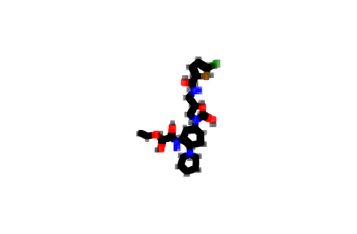 CCOC(=O)C(=O)Nc1cc(N2CC(CNC(=O)c3ccc(Cl)s3)OC2=O)ccc1N1CCCCC1